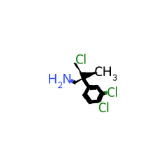 C[C@@H]1[C@H](CCl)[C@@]1(CN)c1ccc(Cl)c(Cl)c1